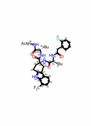 CCC(C)[C@H](NC(=O)Cc1ccccc1F)C(=O)N[C@]1(C(=O)N[C@H](C(=O)NNC(C)=O)C(C)CC)CCc2[nH]c3c(C(F)(F)F)cccc3c2C1